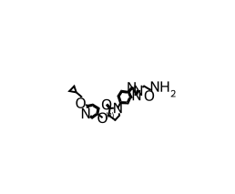 NC(=O)Cn1nc2ccc(N3CC[C@@H](Oc4ccc(OCC5CC5)nc4)C3=O)cc2n1